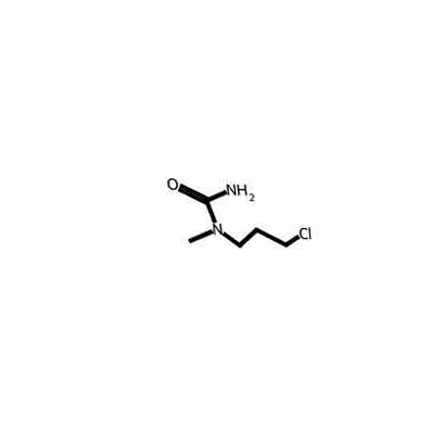 CN(CCCCl)C(N)=O